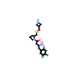 N[C@@H](CC(=O)N1CCCC1COCC1CNC1)Cc1cc(F)c(F)cc1F